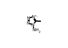 CC1=[N+]N=NN1N